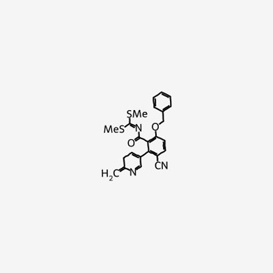 C=C1CC=C(c2c(C#N)ccc(OCc3ccccc3)c2C(=O)N=C(SC)SC)C=N1